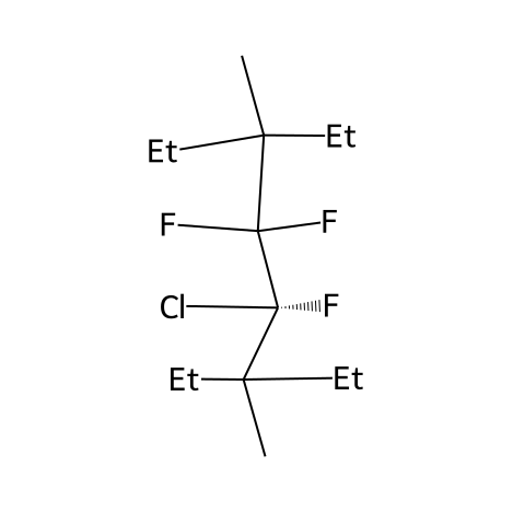 CCC(C)(CC)C(F)(F)[C@](F)(Cl)C(C)(CC)CC